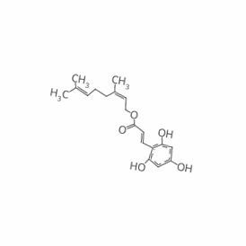 CC(C)=CCCC(C)=CCOC(=O)C=Cc1c(O)cc(O)cc1O